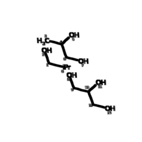 CC(C)CO.CC(O)CO.OCC(O)CO